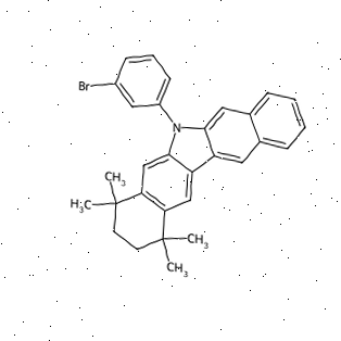 CC1(C)CCC(C)(C)c2cc3c(cc21)c1cc2ccccc2cc1n3-c1cccc(Br)c1